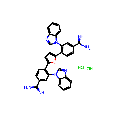 Cl.Cl.N=C(N)c1ccc(-c2ccc(-c3ccc(C(=N)N)cc3-n3cnc4ccccc43)o2)c(-n2cnc3ccccc32)c1